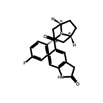 O=C1Cc2cc(C(=O)N3[C@@H]4CC[C@H]3C[C@@H](c3ccc(F)cc3)C4)ccc2N1